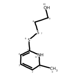 CC1C=CC=C(SSCCO)N1